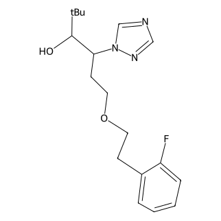 CC(C)(C)C(O)C(CCOCCc1ccccc1F)n1cncn1